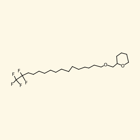 FC(F)(F)C(F)(F)CCCCCCCCCCCCCCOCC1CCCCO1